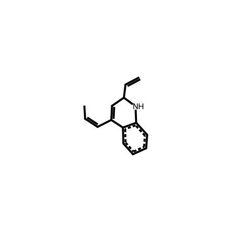 C=CC1C=C(/C=C\C)c2ccccc2N1